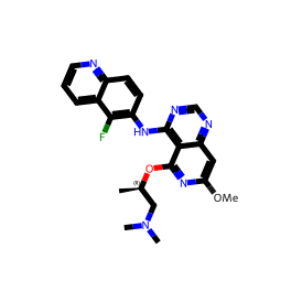 COc1cc2ncnc(Nc3ccc4ncccc4c3F)c2c(O[C@H](C)CN(C)C)n1